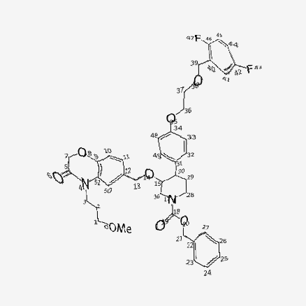 COCCCN1C(=O)COc2ccc(COC3CN(C(=O)OCc4ccccc4)CCC3c3ccc(OCCOCc4cc(F)ccc4F)cc3)cc21